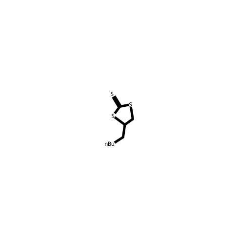 CCCCCC1CSC(=S)S1